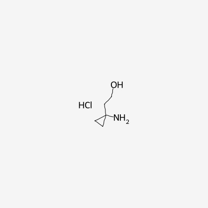 Cl.NC1(CCO)CC1